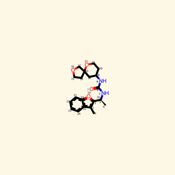 Cc1c([C@H](C)NC(=O)NC2CCOC3(CCOC3)C2)oc2ccccc12